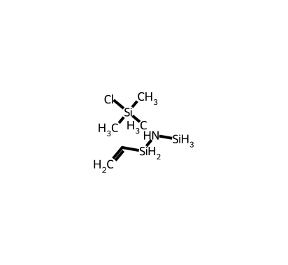 C=C[SiH2]N[SiH3].C[Si](C)(C)Cl